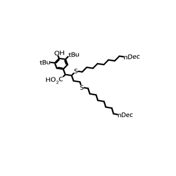 CCCCCCCCCCCCCCCCCCSCCC(SCCCCCCCCCCCCCCCCCC)C(C(=O)O)c1cc(C(C)(C)C)c(O)c(C(C)(C)C)c1